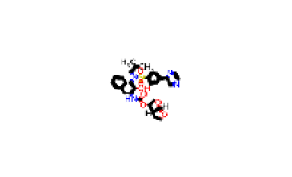 CC(C)CN(C[C@@H](O)[C@H](Cc1ccccc1)NC(=O)O[C@H]1CO[C@H]2OCC[C@H]21)S(=O)(=O)c1ccc(-c2cnccn2)cc1